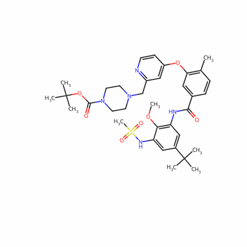 COc1c(NC(=O)c2ccc(C)c(Oc3ccnc(CN4CCN(C(=O)OC(C)(C)C)CC4)c3)c2)cc(C(C)(C)C)cc1NS(C)(=O)=O